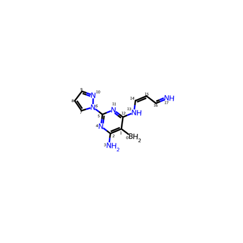 Bc1c(N)nc(-n2cccn2)nc1N/C=C\C=N